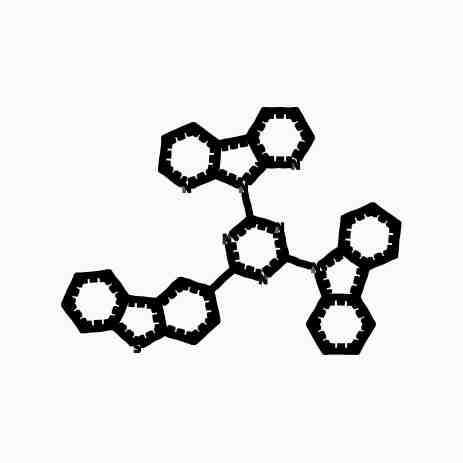 c1ccc2c(c1)sc1ccc(-c3nc(-n4c5ccccc5c5ccccc54)nc(-n4c5ncccc5c5cccnc54)n3)cc12